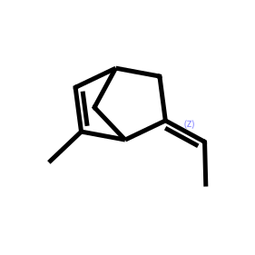 C/C=C1/CC2C=C(C)C1C2